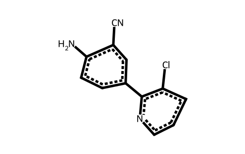 N#Cc1cc(-c2ncccc2Cl)ccc1N